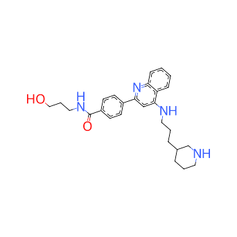 O=C(NCCCO)c1ccc(-c2cc(NCCCC3CCCNC3)c3ccccc3n2)cc1